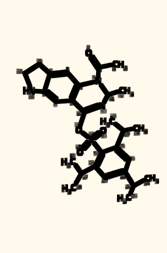 CC(=O)N1c2cc3c(cc2C(OS(=O)(=O)c2c(C(C)C)cc(C(C)C)cc2C(C)C)=NC1C)NCC3